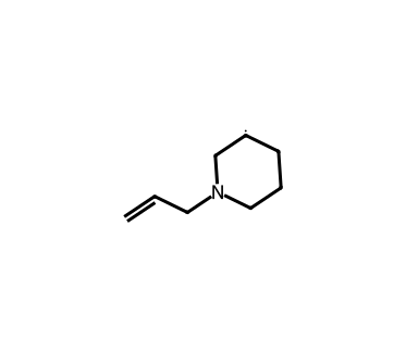 C=CCN1C[CH]CCC1